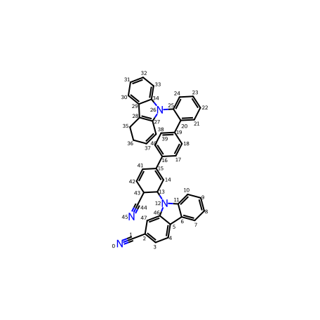 N#Cc1ccc2c3ccccc3n(C3C=C(c4ccc(-c5ccccc5-n5c6c(c7ccccc75)CCC=C6)cc4)C=CC3C#N)c2c1